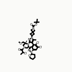 COC[C@@]1(C)CN(C(=O)C(C)Cl)CCN1c1nn(C2CC3(C2)CN(C(=O)OC(C)(C)C)C3)c(C)c1-c1c(Cl)c(Cl)cc2c1cnn2C1CCCCO1